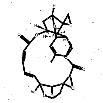 CC(=O)C12/C=C/C=C\C(=O)O[C@@H]3C[C@H]4O[C@@H]5C=C(C)CC[C@]5(COC(=O)C5OC5(CCO1)C2O)[C@]3(C)C41CO1